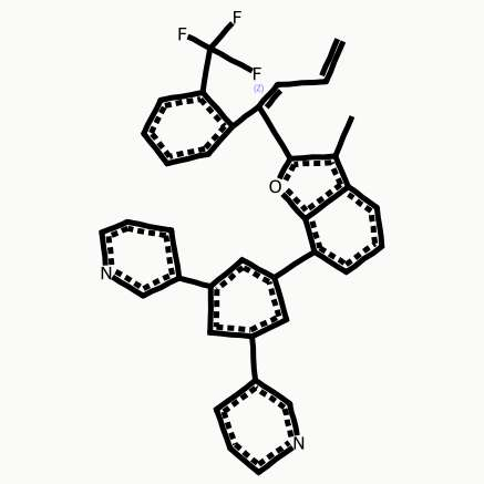 C=C/C=C(/c1ccccc1C(F)(F)F)c1oc2c(-c3cc(-c4cccnc4)cc(-c4cccnc4)c3)cccc2c1C